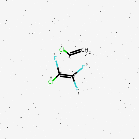 C=CCl.FC(F)=C(F)Cl